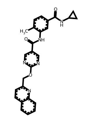 Cc1ccc(C(=O)NC2CC2)cc1NC(=O)c1cnc(OCc2ccc3ccccc3n2)nc1